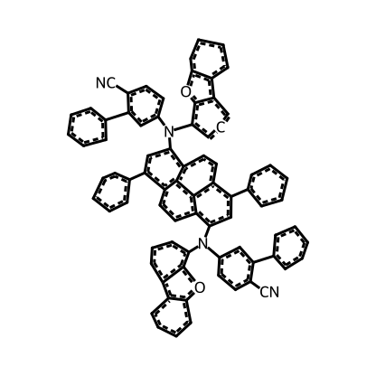 N#Cc1ccc(N(c2cc(-c3ccccc3)c3ccc4c(N(c5ccc(C#N)c(-c6ccccc6)c5)c5cccc6c5oc5ccccc56)cc(-c5ccccc5)c5ccc2c3c54)c2cccc3c2oc2ccccc23)cc1-c1ccccc1